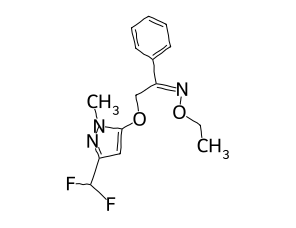 CCON=C(COc1cc(C(F)F)nn1C)c1ccccc1